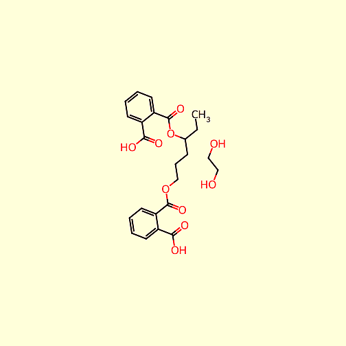 CCC(CCCOC(=O)c1ccccc1C(=O)O)OC(=O)c1ccccc1C(=O)O.OCCO